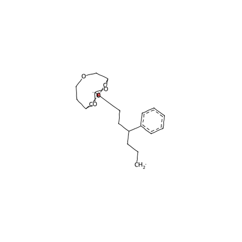 [CH2]CCC(CC[C]1OC2CCOCC(CCOC2)O1)c1ccccc1